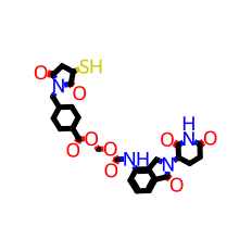 O=C1CCC(N2Cc3c(NC(=O)OCOC(=O)C4CCC(CN5C(=O)CC(S)C5=O)CC4)cccc3C2=O)C(=O)N1